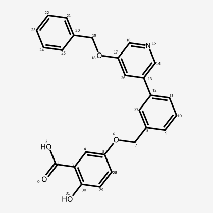 O=C(O)c1cc(OCc2cccc(-c3cncc(OCc4ccccc4)c3)c2)ccc1O